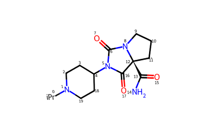 CC(C)N1CCC(N2C(=O)N3CC[CH][C@]3(C(N)=O)C2=O)CC1